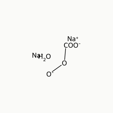 O.O=C([O-])O[O-].[Na+].[Na+]